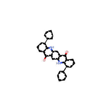 O=c1c2cc3[nH]c4c(-c5ccccc5)cccc4c(=O)c3cc2[nH]c2c(-c3ccccc3)cccc12